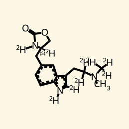 [2H]c1c(CC([2H])([2H])N(C)C([2H])([2H])[2H])c2cc(C[C@@]3([2H])COC(=O)N3[2H])ccc2n1[2H]